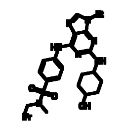 CCn1cnc2c(Nc3ccc(S(=O)(=O)N(C)CC(C)C)cc3)nc(NC3CCC(O)CC3)nc21